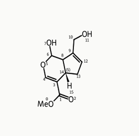 COC(=O)C1=COC(O)C2C(CO)=CC[C@H]12